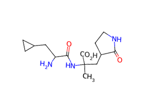 CC(CC1CCNC1=O)(NC(=O)C(N)CC1CC1)C(=O)O